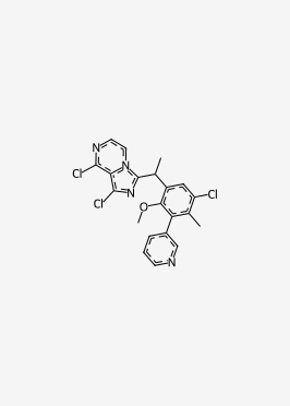 COc1c(C(C)c2nc(Cl)c3c(Cl)nccn23)cc(Cl)c(C)c1-c1cccnc1